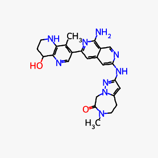 Cc1c(-c2cc3cc(Nc4cc5n(n4)CC(=O)N(C)CC5)ncc3c(N)n2)cnc2c1NCCC2O